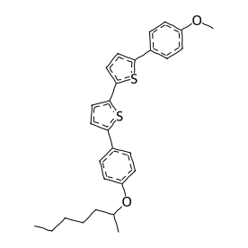 CCCCCC(C)Oc1ccc(-c2ccc(-c3ccc(-c4ccc(OC)cc4)s3)s2)cc1